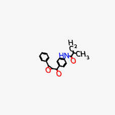 C=C(C)C(=O)Nc1ccc(C(=O)C2OC2c2ccccc2)cc1